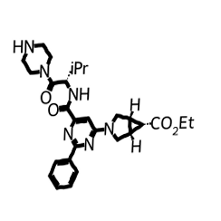 CCOC(=O)[C@@H]1[C@@H]2CN(c3cc(C(=O)N[C@H](C(=O)N4CCNCC4)C(C)C)nc(-c4ccccc4)n3)C[C@@H]21